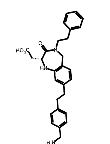 NCc1ccc(CCc2ccc3c(c2)N[C@H](CC(=O)O)C(=O)N(CCc2ccccc2)C3)cc1